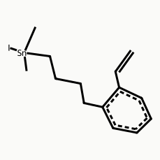 C=Cc1ccccc1CCC[CH2][Sn]([CH3])([CH3])[I]